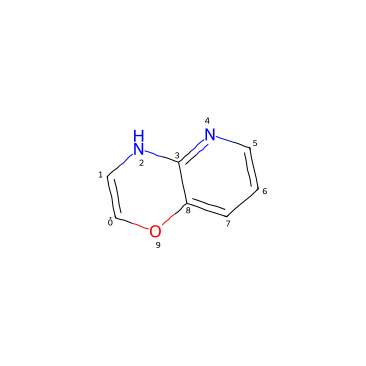 [C]1=CNc2ncccc2O1